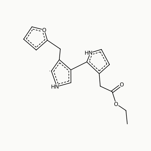 CCOC(=O)Cc1cc[nH]c1-c1c[nH][c]c1Cc1ccco1